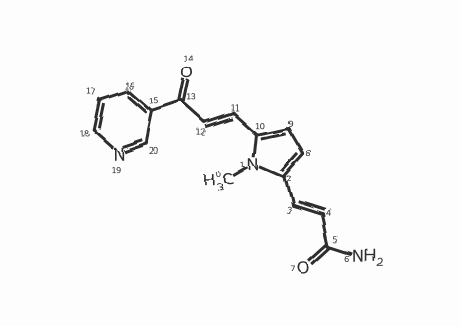 Cn1c(/C=C/C(N)=O)ccc1/C=C/C(=O)c1cccnc1